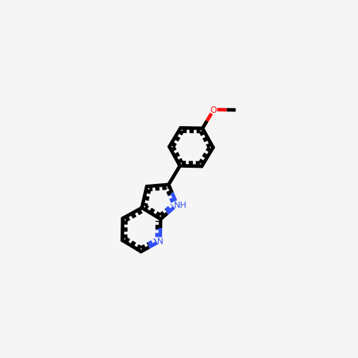 COc1ccc(-c2cc3cccnc3[nH]2)cc1